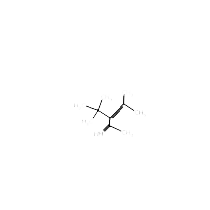 CC(=N)C(=C(C)C)C(C)(C)C